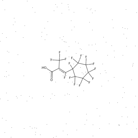 O=C(O)C(=C(F)C1(F)C(F)(F)C(F)(F)C(F)(F)C(F)(F)C1(F)F)C(F)(F)F